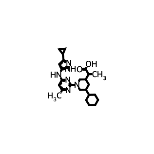 Cc1cc(Nc2cc(C3CC3)n[nH]2)nc(N2CC(C3CCCCC3)CC(C(C)C(=O)O)C2)n1